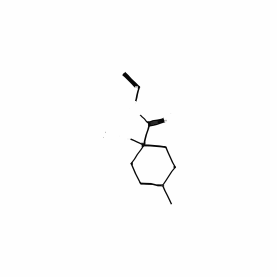 C=COC(=O)C1(OC(C)=O)CCC(C)CC1